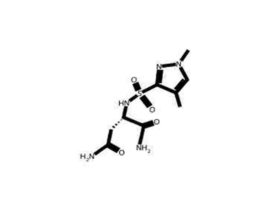 Cc1cn(C)nc1S(=O)(=O)N[C@@H](CC(N)=O)C(N)=O